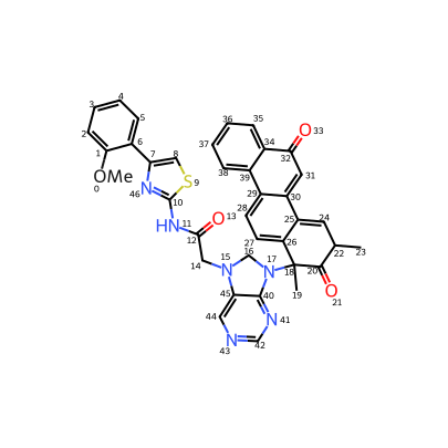 COc1ccccc1-c1csc(NC(=O)CN2CN(C3(C)C(=O)C(C)C=c4c3ccc3c4=CC(=O)c4ccccc4-3)c3ncncc32)n1